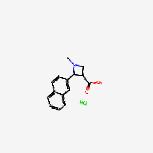 CN1CC(C(=O)O)C1c1ccc2ccccc2c1.Cl